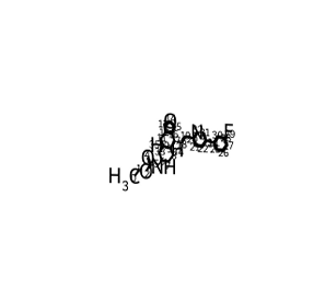 CCOC(=O)N[C@@H]1CC[C@@H]2[C@H](Cc3cocc3[C@H]2/C=C/c2ccc(-c3cccc(F)c3)cn2)C1